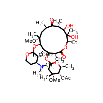 CC[C@H]1OC(=O)[C@H](C)[C@@H](OC2C[C@@](C)(OC)[C@@H](OC(C)=O)[C@H](C)O2)[C@H](C)[C@@H](O[C@@H]2OCC[C@H](N(C)C)[C@H]2OC)[C@](C)(OC)C[C@@H](C)C(=O)[C@H](C)[C@@H](O)[C@]1(C)O